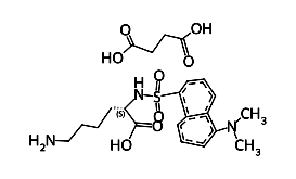 CN(C)c1cccc2c(S(=O)(=O)N[C@@H](CCCCN)C(=O)O)cccc12.O=C(O)CCC(=O)O